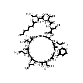 CCCCCCC(=O)N[C@@H](CCN)C(=O)N[C@H](C(=O)NC(CO)C(=O)N[C@H]1CCNC(=O)[C@H]([C@@H](C)O)NC(=O)[C@H](CCN)NC(=O)[C@H](CCN)NC(=O)[C@H]([C@@H](C)O)NC(=O)[C@@H](Cc2ccccc2)NC(=O)[C@H](CCN)NC1=O)[C@@H](C)O